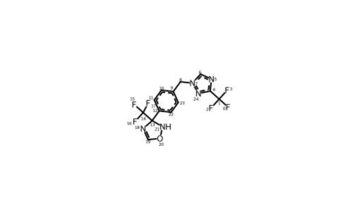 FC(F)(F)c1ncn(Cc2ccc(C3(C(F)(F)F)N=CON3)cc2)n1